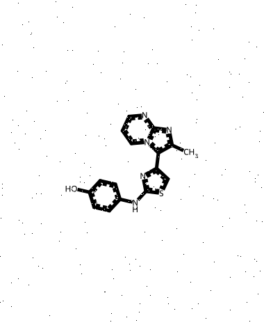 Cc1nc2ncccn2c1-c1csc(Nc2ccc(O)cc2)n1